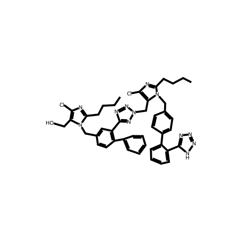 CCCCc1nc(Cl)c(CO)n1Cc1ccc(-c2ccccc2)c(-c2nnn(Cc3c(Cl)nc(CCCC)n3Cc3ccc(-c4ccccc4-c4nnn[nH]4)cc3)n2)c1